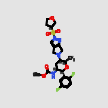 CC(C)(C)OC(=O)N[C@H]1C[C@@H](N2Cc3cn(S(=O)(=O)[C@@H]4CCOC4)nc3C2)[C@@H](C(F)(F)F)O[C@@H]1c1cc(F)ccc1F